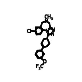 CN1Cc2cc(Cl)ccc2-n2c(nnc2C2CC=C(c3cccc(OC(F)(F)F)c3)CC2)C1